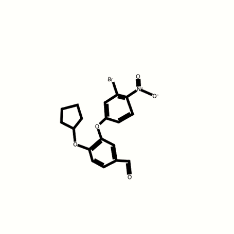 O=Cc1ccc(OC2CCCC2)c(Oc2ccc([N+](=O)[O-])c(Br)c2)c1